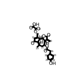 C=C1C(=O)O[C@@H]2[C@H]3C(COC(=O)C(=O)O)=CC(=O)C3=C(C)C[C@H](OC(=O)Cc3ccc(O)cc3)[C@@H]12